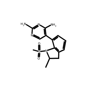 CC1Cc2cccc(-c3cnc(N)nc3N)c2N1S(C)(=O)=O